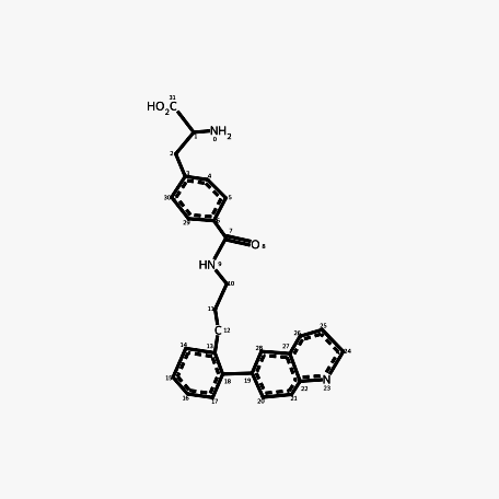 NC(Cc1ccc(C(=O)NCCCc2ccccc2-c2ccc3ncccc3c2)cc1)C(=O)O